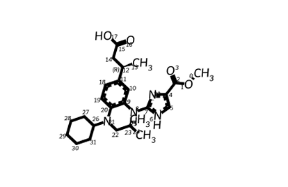 COC(=O)c1c[nH]c(Nc2cc([C@H](C)CC(=O)O)ccc2N(CC(C)C)C2CCCCC2)n1